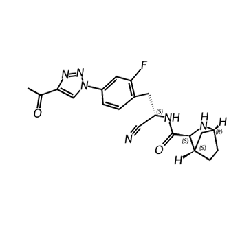 CC(=O)c1cn(-c2ccc(C[C@@H](C#N)NC(=O)[C@H]3N[C@@H]4CC[C@H]3C4)c(F)c2)nn1